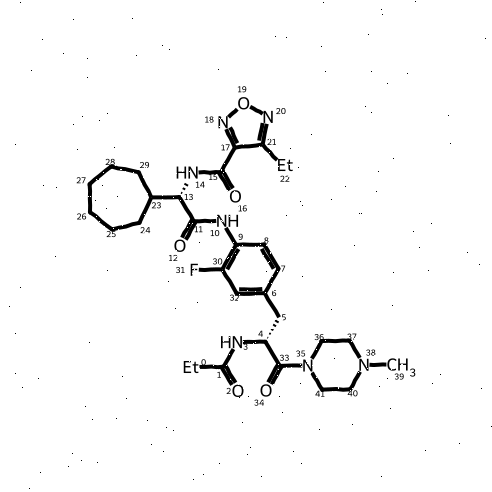 CCC(=O)N[C@H](Cc1ccc(NC(=O)[C@@H](NC(=O)c2nonc2CC)C2CCCCCC2)c(F)c1)C(=O)N1CCN(C)CC1